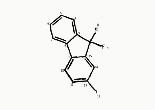 FC1(F)c2ccccc2-c2ccc(I)cc21